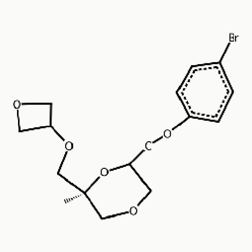 C[C@@]1(COC2COC2)COCC(COc2ccc(Br)cc2)O1